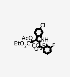 CCOC(=O)C(OC(C)=O)(C(=O)OCC)c1c(C(=O)c2cccc(F)c2)[nH]c2cc(Cl)ccc12